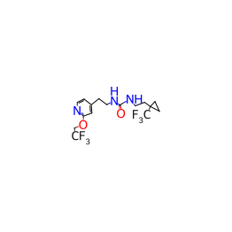 O=C(NCCc1ccnc(OCC(F)(F)F)c1)NCCC1(C(F)(F)F)CC1